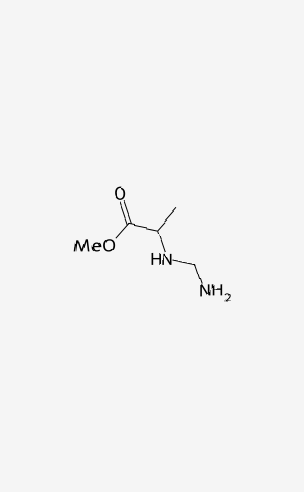 COC(=O)C(C)NCN